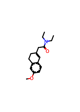 CCN(CC)C(=O)CC1=Cc2ccc(OC)cc2CC1